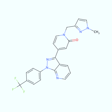 Cn1ccc(Cn2ccc(-c3nn(-c4ccc(C(F)(F)F)cc4)c4ncccc34)cc2=O)n1